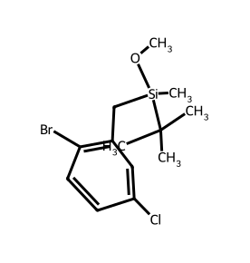 CO[Si](C)(Cc1cc(Cl)ccc1Br)C(C)(C)C